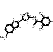 COc1ccc2oc(-c3nnc(NC(=O)c4c(Cl)cccc4Cl)s3)cc2c1